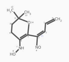 C=C/C=C(/N=O)C1=C(NO)CCC(C)(C)O1